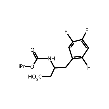 CC(C)OC(=O)NC(CC(=O)O)Cc1cc(F)c(F)cc1F